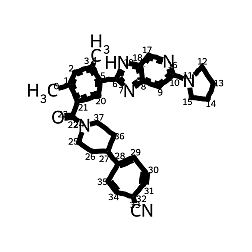 Cc1cc(C)c(-c2nc3cc(N4CCCC4)ncc3[nH]2)cc1C(=O)N1CCC(C2=CC#CC(C#N)C=C2)CC1